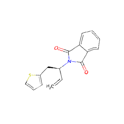 C=C[C@@H](Cc1cccs1)N1C(=O)c2ccccc2C1=O